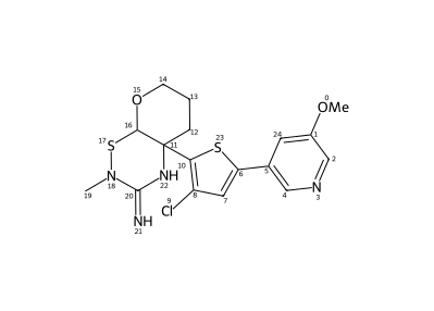 COc1cncc(-c2cc(Cl)c(C34CCCOC3SN(C)C(=N)N4)s2)c1